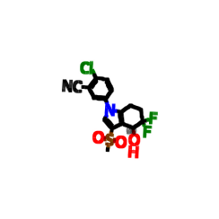 CS(=O)(=O)c1cn(-c2ccc(Cl)c(C#N)c2)c2c1[C@H](O)C(F)(F)CC2